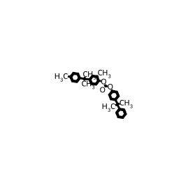 Cc1ccc(C(C)(C)c2ccc(OC(=O)Oc3ccc(C(C)(C)c4ccccc4)cc3)c(C)c2)cc1